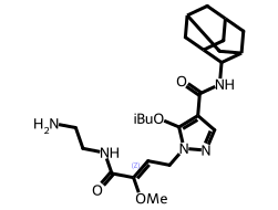 CO/C(=C\Cn1ncc(C(=O)NC2C3CC4CC(C3)CC2C4)c1OCC(C)C)C(=O)NCCN